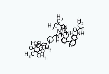 C=C(F)C(=O)Nc1ccc2c(-c3ccccc3CNc3nc(NCC4CCN(C(=O)CC(C)(C)C5=C(C)C(=O)C(C)=C(C)C5=O)CC4)nc4c(C(C)C)cnn34)nccc2c1